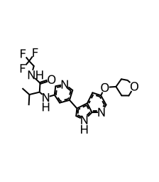 CC(C)C(Nc1cncc(-c2c[nH]c3ncc(OC4CCOCC4)cc23)c1)C(=O)NCC(F)(F)F